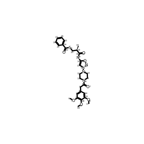 COc1cc(CC(=O)N2CCN([n+]3cc([N-]C(=O)[C@H](C)CSC(=O)c4ccccc4)on3)CC2)cc(OC)c1OC